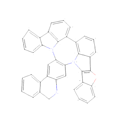 c1ccc2c(c1)CNc1cc3c(cc1-2)n1c2ccccc2c2cccc(c4cccc5c6oc7ccccc7c6n3c45)c21